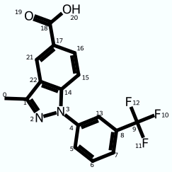 Cc1nn(-c2cccc(C(F)(F)F)c2)c2ccc(C(=O)O)cc12